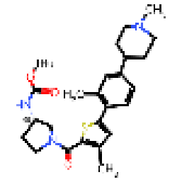 Cc1cc(C2CCN(C)CC2)ccc1-c1cc(C)c(C(=O)N2CC[C@H](NC(=O)OC(C)(C)C)C2)s1